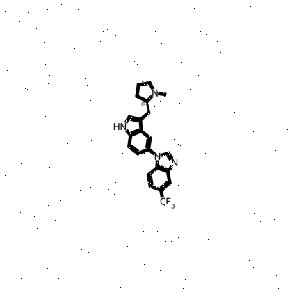 CN1CCC[C@@H]1Cc1c[nH]c2ccc(-n3cnc4cc(C(F)(F)F)ccc43)cc12